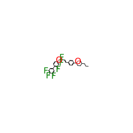 CCCC1CCC(c2ccc(/C=C/C(F)(F)Oc3ccc(-c4cc(F)c(F)c(F)c4)c(F)c3)cc2)OC1